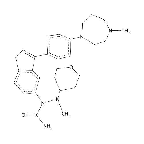 CN1CCCN(c2ccc(C3=CCc4ccc(N(C(N)=O)N(C)C5CCOCC5)cc43)cc2)CC1